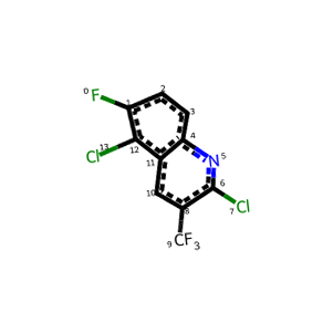 Fc1ccc2nc(Cl)c(C(F)(F)F)cc2c1Cl